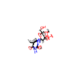 COC[C@]1(CO)O[C@@H](n2cc(C)c(=O)[nH]c2=O)CC1O